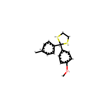 COc1ccc(C2(c3ccc(C)cc3)SCCS2)cc1